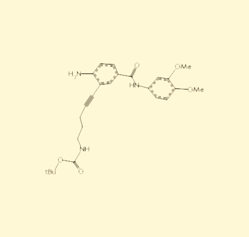 COc1ccc(NC(=O)c2ccc(N)c(C#CCCCNC(=O)OC(C)(C)C)c2)cc1OC